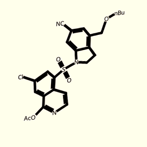 CCCCOCc1cc(C#N)cc2c1CCN2S(=O)(=O)c1cc(Cl)cc2c(OC(C)=O)nccc12